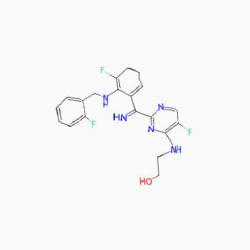 N=C(C1=CCCC(F)=C1NCc1ccccc1F)c1ncc(F)c(NCCO)n1